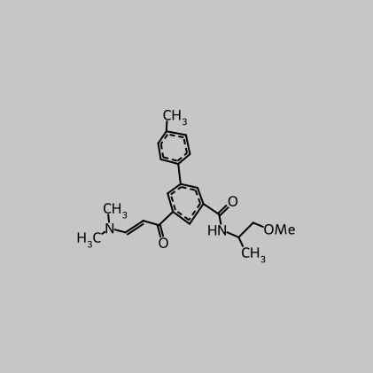 COCC(C)NC(=O)c1cc(C(=O)C=CN(C)C)cc(-c2ccc(C)cc2)c1